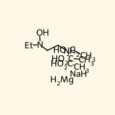 CC(=O)O.CC(=O)O.CC(=O)O.CCN(O)CCN.[MgH2].[NaH]